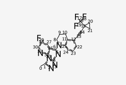 Cc1nnc2nc(N3CCCc4c(C#CC5(C(F)(F)F)CC5)cccc43)c3cc(F)cnc3n12